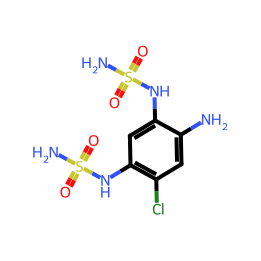 Nc1cc(Cl)c(NS(N)(=O)=O)cc1NS(N)(=O)=O